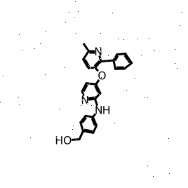 Cc1ccc(Oc2ccnc(Nc3ccc(CO)cc3)c2)c(-c2ccccc2)n1